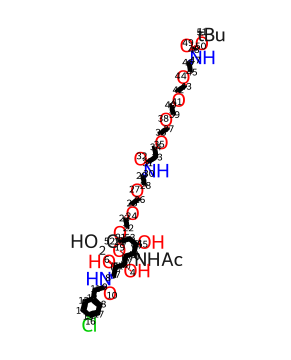 CC(=O)N[C@H]1[C@H]([C@H](O)[C@H](O)CNC(=O)Cc2ccc(Cl)cc2)O[C@@](OCCOCCOCCNC(=O)CCOCCOCCOCCOCCNC(=O)OC(C)(C)C)(C(=O)O)C[C@@H]1O